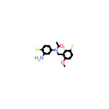 COc1ccc(F)c(F)c1CN(C(C)=O)c1ccc(F)c(N)c1